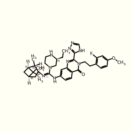 CC[C@H]1CN(/C(=N\[C@H]2C[C@H]3C[C@@H]([C@@H]2C)C3(C)C)Nc2ccc3c(=O)n(CCc4ccc(OC)cc4F)c(-c4nnc[nH]4)nc3c2)CCN1